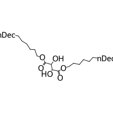 CCCCCCCCCCCCCCCCOC(=O)C(O)C(O)C(=O)OCCCCCCCCCCCCCCCC